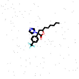 CCCCCCC1CC(c2ccc(C(F)(F)F)cc2)(n2ccnc2)C(=O)O1